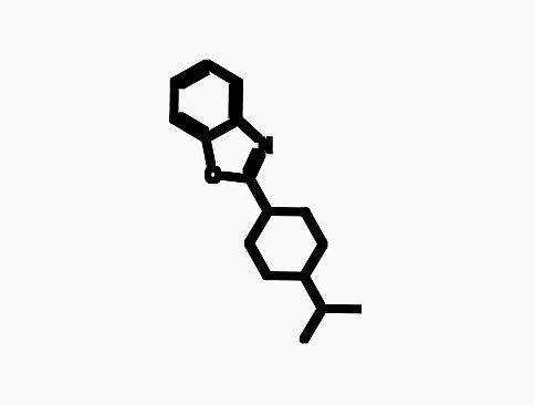 CC(C)C1CCC(c2nc3ccccc3o2)CC1